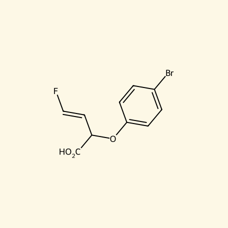 O=C(O)C(/C=C/F)Oc1ccc(Br)cc1